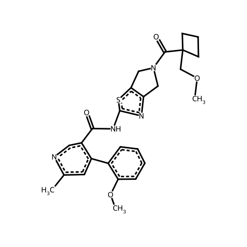 COCC1(C(=O)N2Cc3nc(NC(=O)c4cnc(C)cc4-c4ccccc4OC)sc3C2)CCC1